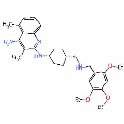 CCOc1cc(OCC)c(OCC)cc1CNC[C@H]1CC[C@@H](Nc2nc3cccc(C)c3c(N)c2C)CC1